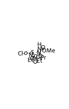 CCc1cccc(CC)c1-n1c(CC(C)C)c(C(=O)N2CC(C(=O)OC)NCC2C)cc(-c2nc(-c3ccc(Cl)cc3)cs2)c1=O